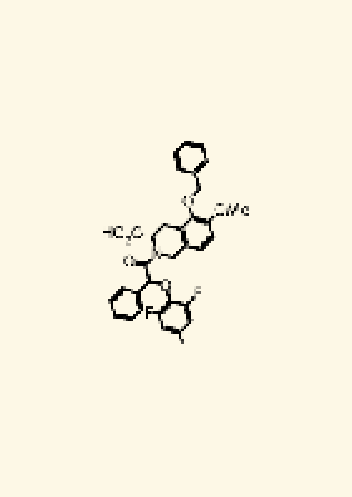 COc1ccc2c(c1OCc1ccccc1)C[C@@H](C(=O)O)N(C(=O)C(Oc1c(F)cc(F)cc1F)c1ccccc1)C2